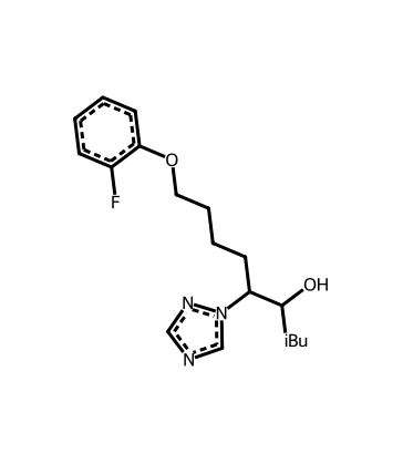 CCC(C)C(O)C(CCCCOc1ccccc1F)n1cncn1